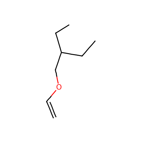 C=COCC(CC)CC